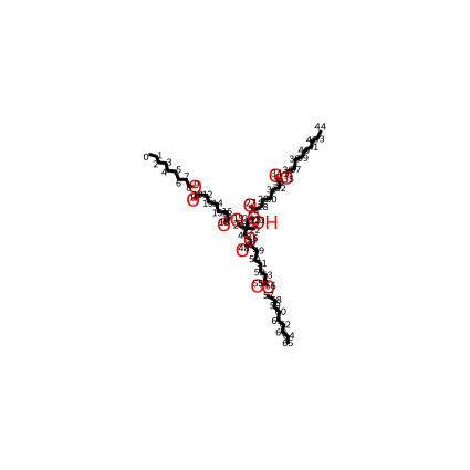 CCCCCCCCCOC(=O)CCCCCC(=O)OCC(CO)(COC(=O)CCCCCC(=O)OCCCCCCCCC)COC(=O)CCCCCC(=O)OCCCCCCCCC